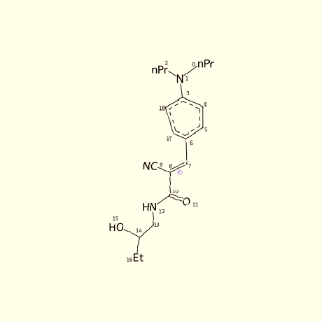 CCCN(CCC)c1ccc(/C=C(\C#N)C(=O)NCC(O)CC)cc1